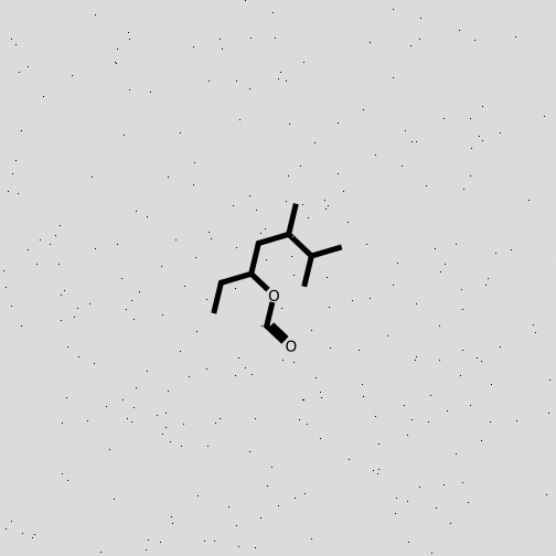 CCC(CC(C)C(C)C)O[C]=O